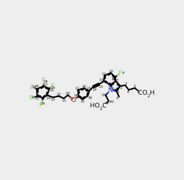 Cc1c(CCCC(=O)O)c2c(F)ccc(C#Cc3ccc(OCCCCc4c(F)c(F)c(F)c(F)c4F)cc3)c2n1CCC(=O)O